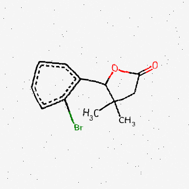 CC1(C)CC(=O)OC1c1ccccc1Br